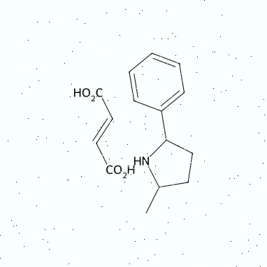 CC1CCC(c2ccccc2)N1.O=C(O)C=CC(=O)O